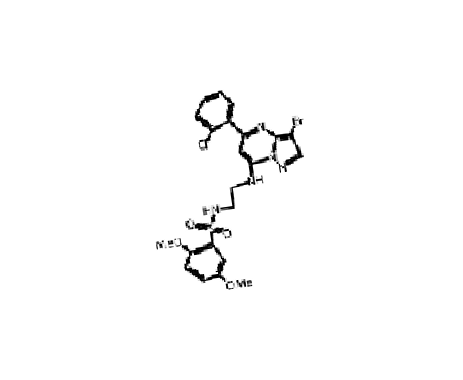 COc1ccc(OC)c(S(=O)(=O)NCCNc2cc(-c3ccccc3Cl)nc3c(Br)cnn23)c1